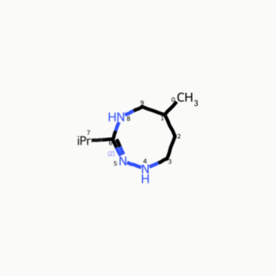 CC1CCN/N=C(/C(C)C)NC1